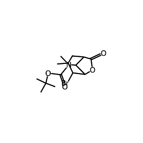 CC1CC2C(=O)OC(C1Br)C2N(C)C(=O)OC(C)(C)C